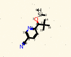 C[SiH](C)OC(c1ccc(C#N)cn1)C(C)(C)C